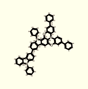 c1ccc(-c2ccc3c(c2)Oc2cc4c5cc(-c6ccc7c(c6)c6ccccc6n7-c6ccccc6)ccc5n(-c5ccccc5)c4c4c2N3c2ccc(-c3ccccc3)cc2O4)cc1